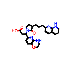 O=C(O)CC(c1ccc2c(n1)NCCO2)N1CCC(CCCC2C=CC3=CCCNC3=N2)C1=O